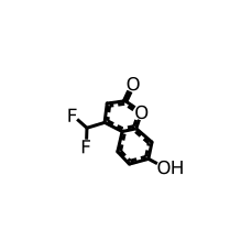 O=c1cc(C(F)F)c2ccc(O)cc2o1